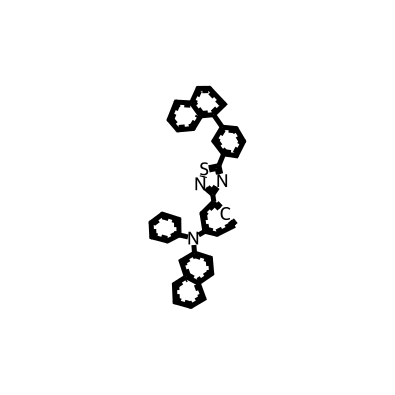 c1ccc(N(c2cccc(-c3nsc(-c4cccc(-c5cccc6ccccc56)c4)n3)c2)c2ccc3ccccc3c2)cc1